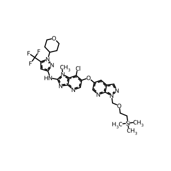 Cn1c(Nc2cc(C(F)(F)F)n(C3CCOCC3)n2)nc2ncc(Oc3cnc4c(cnn4COCC[Si](C)(C)C)c3)c(Cl)c21